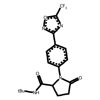 CC(C)(C)NC(=O)C1CCC(=O)N1c1ccc(-c2noc(C(F)(F)F)n2)cc1